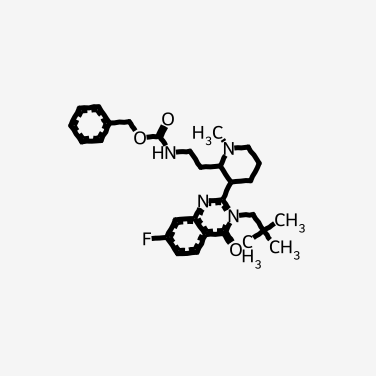 CN1CCCC(c2nc3cc(F)ccc3c(=O)n2CC(C)(C)C)C1CCNC(=O)OCc1ccccc1